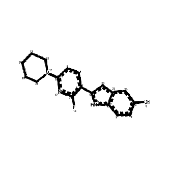 Oc1ccc2[nH]c(-c3ccc(N4CCCCC4)nc3F)cc2c1